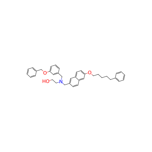 OCCN(Cc1cccc(OCc2ccccc2)c1)Cc1ccc2cc(OCCCCCc3ccccc3)ccc2c1